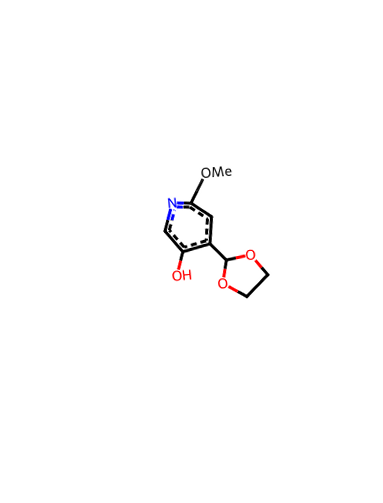 COc1cc(C2OCCO2)c(O)cn1